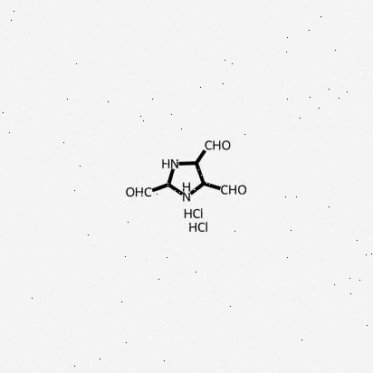 Cl.Cl.O=CC1NC(C=O)C(C=O)N1